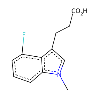 Cn1cc(CCC(=O)O)c2c(F)cccc21